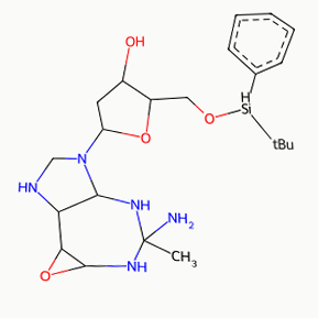 CC1(N)NC2OC2C2NCN(C3CC(O)C(CO[SiH](c4ccccc4)C(C)(C)C)O3)C2N1